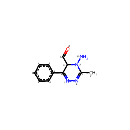 CC1=NN=C(c2ccccc2)C(C=O)N1N